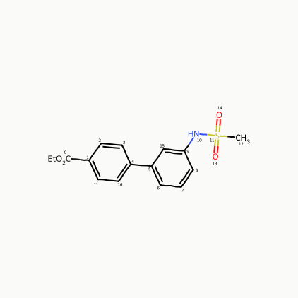 CCOC(=O)c1ccc(-c2cccc(NS(C)(=O)=O)c2)cc1